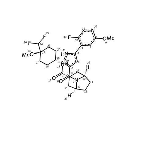 COc1cc(-c2cc(C(=O)N3[C@@H]4CC[C@H]3C[C@H](C(=O)N[C@H]3CC[C@@](OC)(C(F)F)CC3)C4)n[nH]2)c(F)cn1